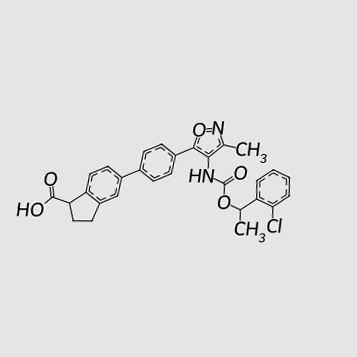 Cc1noc(-c2ccc(-c3ccc4c(c3)CCC4C(=O)O)cc2)c1NC(=O)OC(C)c1ccccc1Cl